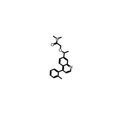 Cc1ccccc1-c1ccnc2cc(C(C)OCC(=O)N(C)C)ccc12